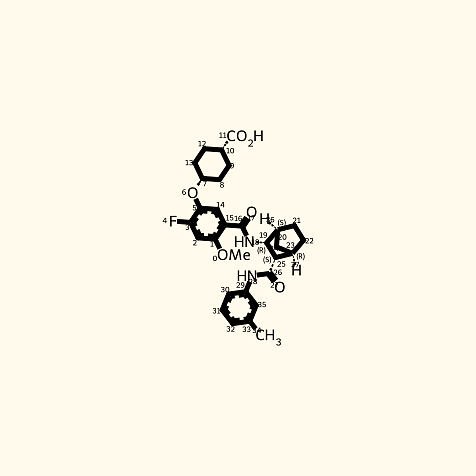 COc1cc(F)c(O[C@H]2CC[C@@H](C(=O)O)CC2)cc1C(=O)N[C@@H]1[C@H]2CC[C@H](C2)[C@@H]1C(=O)Nc1cccc(C)c1